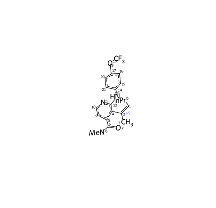 CCC/C=C(/C)c1c(C(=O)NC)ccnc1Nc1ccc(OC(F)(F)F)cc1